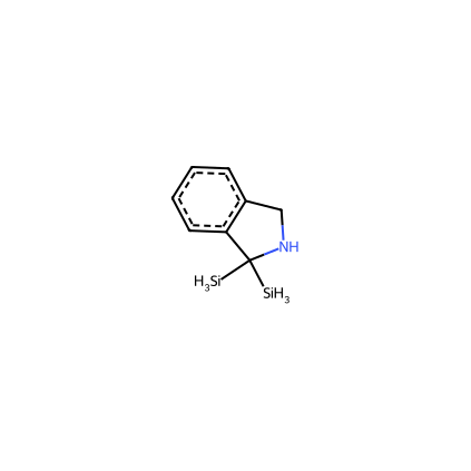 [SiH3]C1([SiH3])NCc2ccccc21